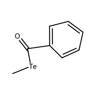 C[Te]C(=O)c1ccccc1